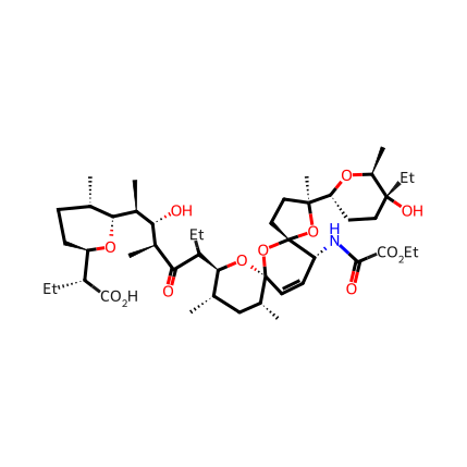 CCOC(=O)C(=O)N[C@@H]1C=C[C@]2(O[C@H](C(CC)C(=O)[C@@H](C)[C@@H](O)[C@H](C)[C@@H]3O[C@@H]([C@@H](CC)C(=O)O)CC[C@@H]3C)[C@@H](C)C[C@H]2C)O[C@@]12CC[C@@](C)([C@H]1CC[C@](O)(CC)[C@H](C)O1)O2